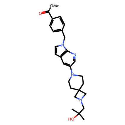 COC(=O)c1ccc(Cn2ccc3cc(N4CCC5(CC4)CN(CC(C)(C)O)C5)cnc32)cc1